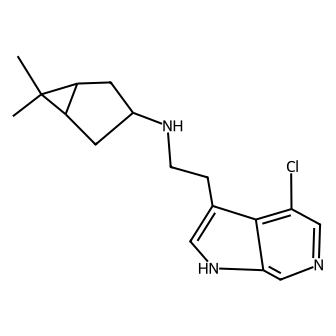 CC1(C)C2CC(NCCc3c[nH]c4cncc(Cl)c34)CC21